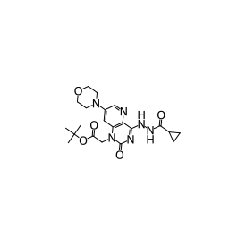 CC(C)(C)OC(=O)Cn1c(=O)nc(NNC(=O)C2CC2)c2ncc(N3CCOCC3)cc21